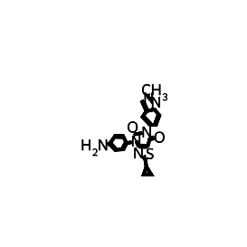 Cn1cc2cc(-n3c(=O)c4sc(C5CC5)nc4n(-c4ccc(N)cc4)c3=O)ccc2n1